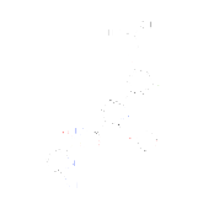 CC(C)COc1cc(F)cc(-c2ccc(C(=O)NS(=O)(=O)c3cccc(N)n3)c(OC3CCOC3)n2)c1